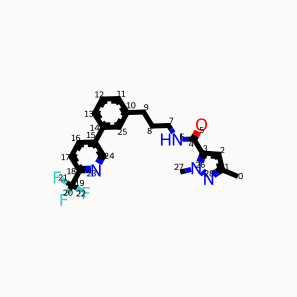 Cc1cc(C(=O)NCCCc2cccc(-c3ccc(C(F)(F)F)nc3)c2)n(C)n1